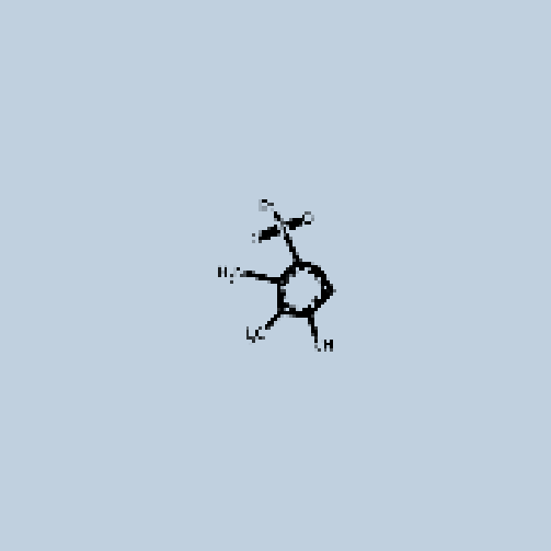 CCS(=O)(=O)c1ccc(C#N)c(C)c1N